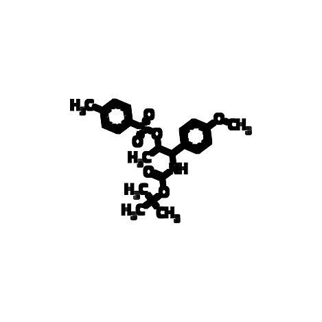 COc1ccc(C(NC(=O)OC(C)(C)C)C(C)OS(=O)(=O)c2ccc(C)cc2)cc1